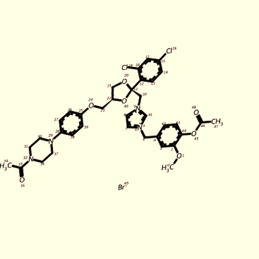 COc1cc(C[n+]2ccn(C[C@]3(c4ccc(Cl)cc4Cl)OC[C@H](COc4ccc(N5CCN(C(C)=O)CC5)cc4)O3)c2)ccc1OC(C)=O.[Br-]